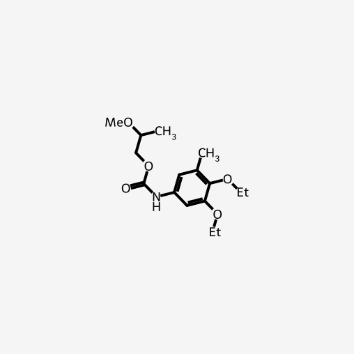 CCOc1cc(NC(=O)OCC(C)OC)cc(C)c1OCC